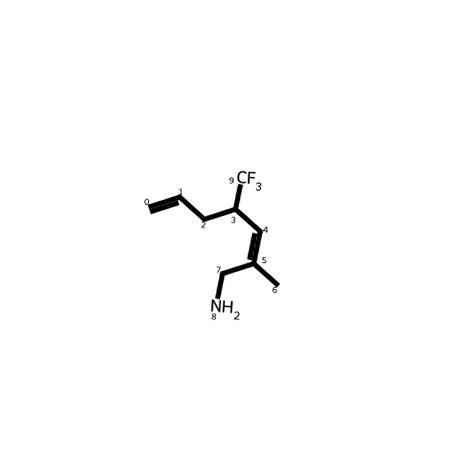 C=CCC(/C=C(/C)CN)C(F)(F)F